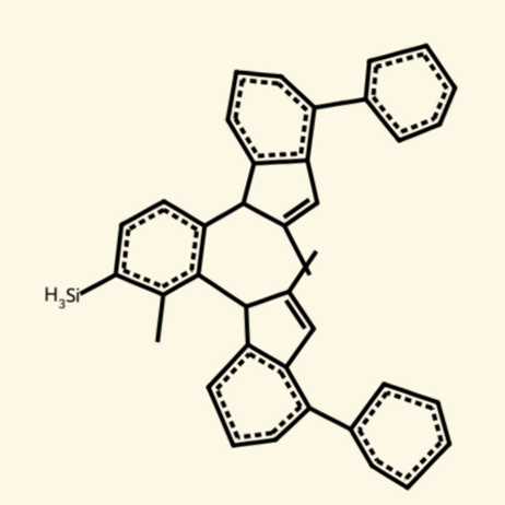 CC1=Cc2c(-c3ccccc3)cccc2C1c1ccc([SiH3])c(C)c1C1C(C)=Cc2c(-c3ccccc3)cccc21